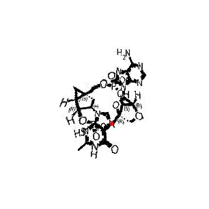 Cc1nc2c(ncn2[C@@H]2C[C@]34COP(=O)(O)O[C@H]5[C@H]6OC[C@]5(CO[P@](=O)(S)O[C@@H]2[C@@H]3C4)O[C@H]6n2cnc3c(N)ncnc32)c(=O)[nH]1